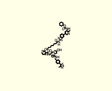 Cc1ncc(-c2ccc3nc(NC(=O)CCCCCCCOc4ncccc4C(=O)N[C@H](C(=O)N4C[C@H](O)C[C@H]4C(=O)NCc4ccc(-c5scnc5C)cc4)C(C)(C)C)sc3c2)cc1NC(=O)OC1CCCCC1